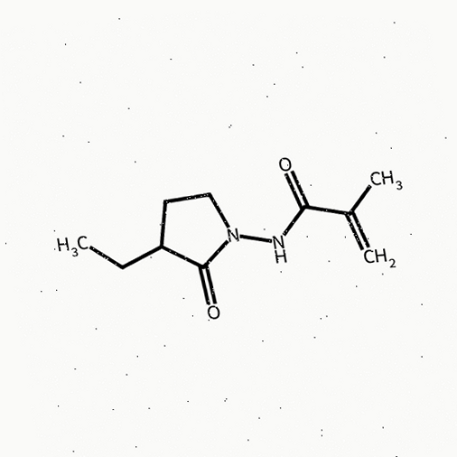 C=C(C)C(=O)NN1CCC(CC)C1=O